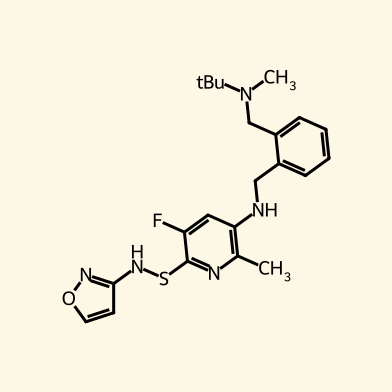 Cc1nc(SNc2ccon2)c(F)cc1NCc1ccccc1CN(C)C(C)(C)C